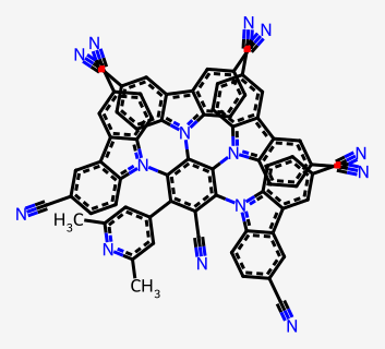 Cc1cc(-c2c(C#N)c(-n3c4ccc(C#N)cc4c4cc(C#N)ccc43)c(-n3c4ccc(C#N)cc4c4cc(C#N)ccc43)c(-n3c4ccc(C#N)cc4c4cc(C#N)ccc43)c2-n2c3ccc(C#N)cc3c3cc(C#N)ccc32)cc(C)n1